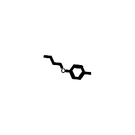 CCCCOc1c[c]c(C)cc1